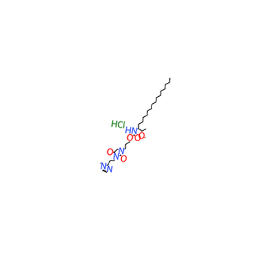 CCCCCCCCCCCCCCCC(NC(=O)OCCCN1CC(=O)N(CCc2nccn2C)C1=O)C(C)OC.Cl